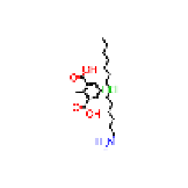 CCCCCCCCCCCCCCN.Cc1c(C(=O)O)cccc1C(=O)O.Cl